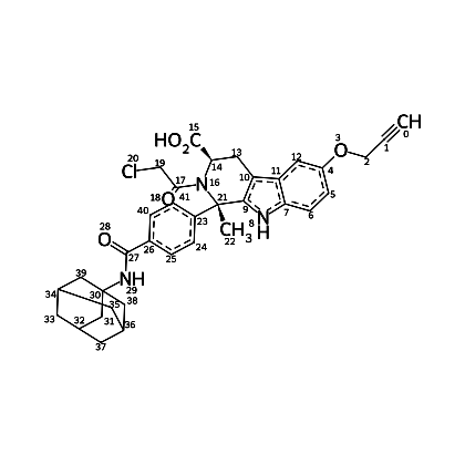 C#CCOc1ccc2[nH]c3c(c2c1)C[C@H](C(=O)O)N(C(=O)CCl)[C@@]3(C)c1ccc(C(=O)NC23CC4CC(CC(C4)C2)C3)cc1